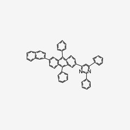 c1ccc(-c2cc(-c3ccc4c(-c5ccccc5)c5cc(-c6ccc7ccccc7c6)ccc5c(-c5ccccc5)c4c3)nc(-c3ccccc3)n2)cc1